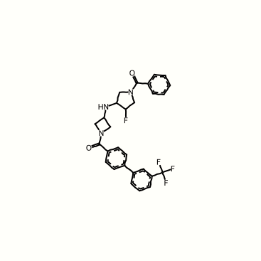 O=C(c1ccc(-c2cccc(C(F)(F)F)c2)cc1)N1CC(NC2CN(C(=O)c3ccccc3)CC2F)C1